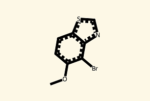 COc1ccc2scnc2c1Br